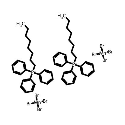 CCCCCCCC[P+](c1ccccc1)(c1ccccc1)c1ccccc1.CCCCCCCC[P+](c1ccccc1)(c1ccccc1)c1ccccc1.[Br][Mn-]([Br])([Br])[Br].[Br][Mn-]([Br])([Br])[Br]